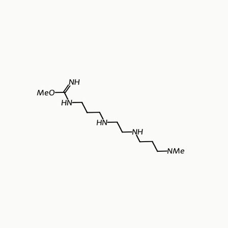 CNCCCNCCNCCCNC(=N)OC